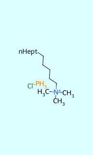 CCCCCCCCCCCC[N+](C)(C)C.P.[Cl-]